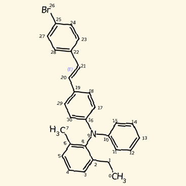 CCc1cccc(C)c1N(c1ccccc1)c1ccc(/C=C/c2ccc(Br)cc2)cc1